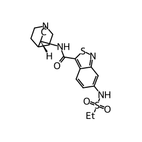 CCS(=O)(=O)Nc1ccc2c(C(=O)N[C@H]3CN4CCC3CC4)snc2c1